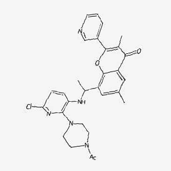 CC(=O)N1CCN(c2nc(Cl)ccc2NC(C)c2cc(C)cc3c(=O)c(C)c(-c4cccnc4)oc23)CC1